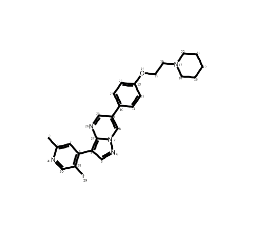 Cc1cc(-c2cnn3cc(-c4ccc(OCCN5CCCCC5)cc4)cnc23)c(F)cn1